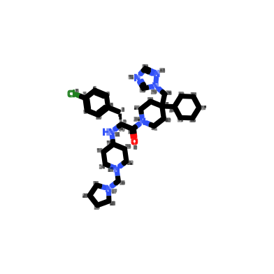 O=C([C@@H](Cc1ccc(Cl)cc1)NC1CCN(CN2CCCC2)CC1)N1CCC(Cn2cncn2)(C2CCCCC2)CC1